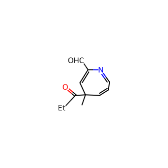 CCC(=O)C1(C)C=CC=NC(C=O)=C1